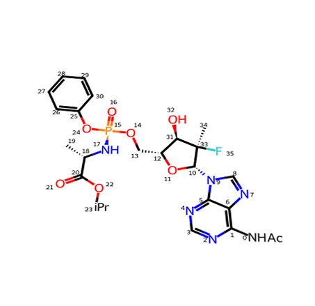 CC(=O)Nc1ncnc2c1ncn2[C@@H]1O[C@H](CO[P@](=O)(N[C@@H](C)C(=O)OC(C)C)Oc2ccccc2)[C@@H](O)[C@@]1(C)F